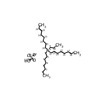 CCCCCCCC[N+](CCC)(CCCCCCCC)CCCCCCCC.O=S(=O)([O-])[O-].[H+]